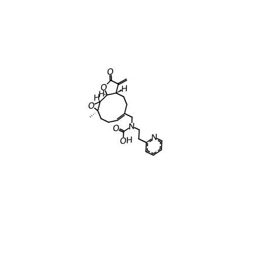 C=C1C(=O)O[C@H]2[C@H]1CC/C(CN(CCc1ccccn1)C(=O)O)=C\CC[C@@]1(C)O[C@@H]21